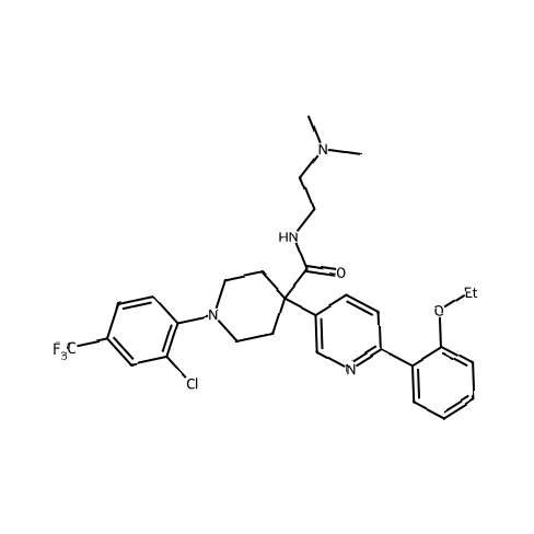 CCOc1ccccc1-c1ccc(C2(C(=O)NCCN(C)C)CCN(c3ccc(C(F)(F)F)cc3Cl)CC2)cn1